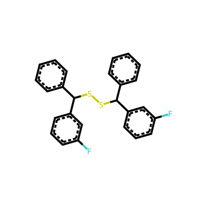 Fc1cccc(C(SSC(c2ccccc2)c2cccc(F)c2)c2ccccc2)c1